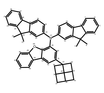 CC1(C)c2ccccc2-c2ccc(N(c3ccc4c(c3)C(C)(C)c3ccccc3-4)c3cc(C45CC6CC7CC(C4)C765)cc4c3oc3ccccc34)cc21